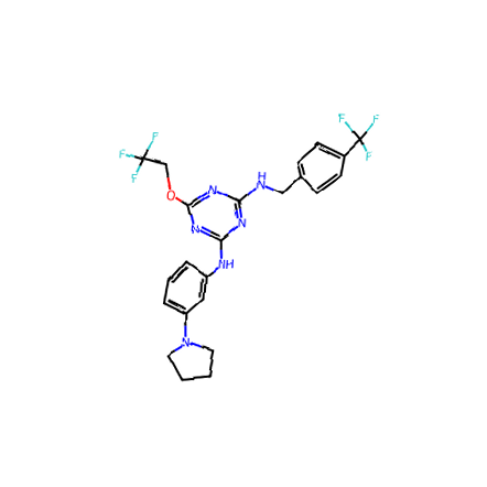 FC(F)(F)COc1nc(NCc2ccc(C(F)(F)F)cc2)nc(Nc2cccc(N3CCCC3)c2)n1